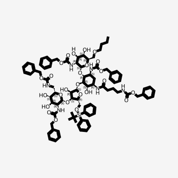 CCCCOC[C@H]1O[C@H](O[C@H]2[C@H](O[C@@H]3O[C@H](CO[Si](c4ccccc4)(c4ccccc4)C(C)(C)C)[C@@H](O[C@H]4O[C@@H](CNC(=O)OCc5ccccc5)[C@@H](O)[C@H](O)[C@H]4NC(=O)OCc4ccccc4)[C@H]3O)[C@@H](O)[C@H](NC(=O)CCCNC(=O)OCc3ccccc3)C[C@@H]2NC(=O)OCc2ccccc2)[C@H](NC(=O)OCc2ccccc2)[C@@H](O)[C@@H]1O